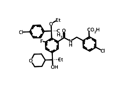 CCO[C@](C)(c1ccc(Cl)cc1)c1c(F)cc([C@](O)(CC)C2CCOCC2)cc1C(=O)NCc1ccc(Cl)cc1C(=O)O